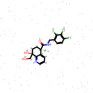 O=C(NCc1ccc(F)c(Cl)c1F)[C@]1(F)CC[C@@](O)(CO)c2ncccc21